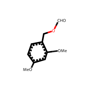 COc1ccc(COC=O)c(OC)c1